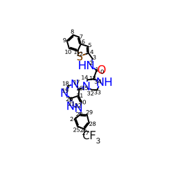 O=C(NCc1cc2ccccc2s1)C1CN(c2ncnc3nn(-c4ccc(C(F)(F)F)cc4)cc23)CCN1